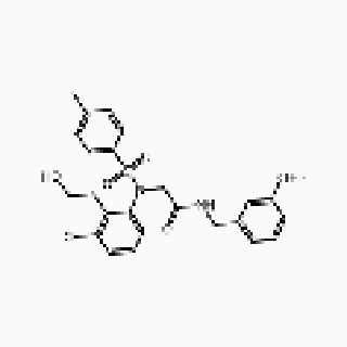 Cc1ccc(S(=O)(=O)N(CC(=O)NCc2cccc(C=O)c2)c2cccc(Cl)c2CCO)cc1